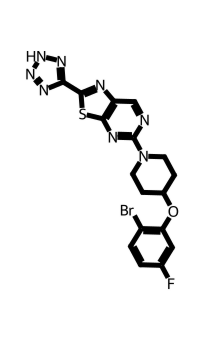 Fc1ccc(Br)c(OC2CCN(c3ncc4nc(-c5nn[nH]n5)sc4n3)CC2)c1